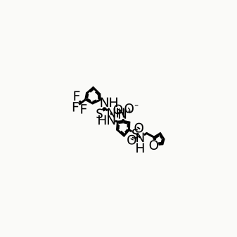 O=[N+]([O-])c1cc(S(=O)(=O)NCc2ccco2)ccc1NNC(=S)Nc1cccc(C(F)(F)F)c1